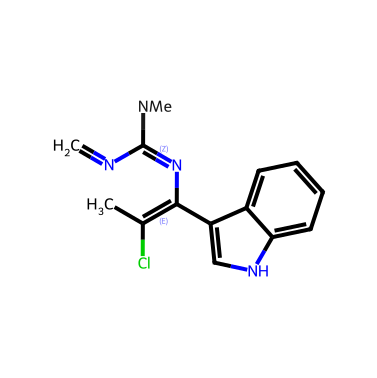 C=N/C(=N\C(=C(/C)Cl)c1c[nH]c2ccccc12)NC